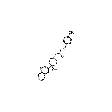 O[C@H](COc1ccc(C(F)(F)F)cc1)CN1CCC(O)(c2cnc3ccccc3c2)CC1